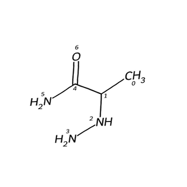 CC(NN)C(N)=O